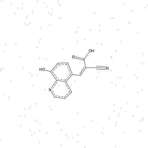 N#CC(=Cc1ccc(O)c2ncccc12)C(=O)O